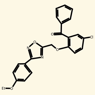 CCOc1ccc(-c2noc(COc3ccc(Cl)cc3C(=O)c3ccccc3)n2)cc1